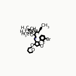 CC#CCC(C)[C@@H](/C=C/C1C(OC2CCCCO2)CC(=O)[C@@H]1c1cccc(Br)c1F)O[Si](C)(C)C(C)(C)C